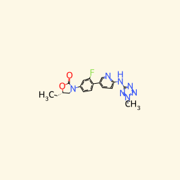 CC[C@H]1CN(c2ccc(-c3ccc(Nc4nnn(C)n4)nc3)c(F)c2)C(=O)O1